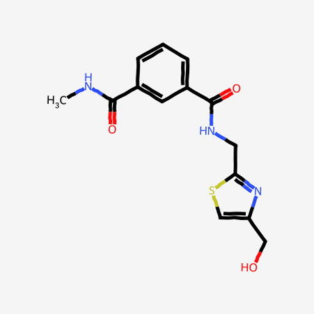 CNC(=O)c1cccc(C(=O)NCc2nc(CO)cs2)c1